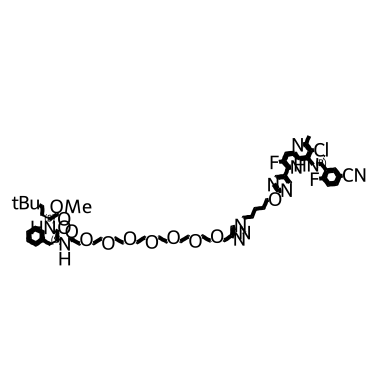 COC(=O)[C@H](CCC(C)(C)C)NC(=O)[C@H](Cc1ccccc1)NC(=O)COCCOCCOCCOCCOCCOCCOCc1cn(CCCCCOc2ncc(-c3nc4c(N[C@H](C)c5cc(C#N)ccc5F)c(Cl)c(C)nc4cc3F)cn2)nn1